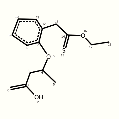 C=C(O)CC(C)Oc1ccccc1CC(=S)OCC